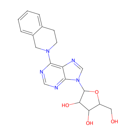 OCC1OC(n2cnc3c(N4CCc5ccccc5C4)ncnc32)C(O)C1O